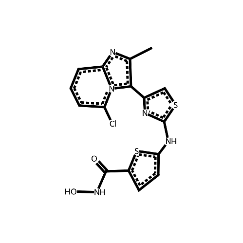 Cc1nc2cccc(Cl)n2c1-c1csc(Nc2ccc(C(=O)NO)s2)n1